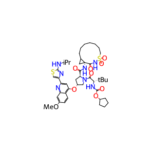 COc1ccc2c(O[C@@H]3C[C@@H](C(=O)N[C@]45CC4CCCCCCCS(=O)(=O)NC5=O)N(C(=O)[C@@H](NC(=O)OC4CCCC4)C(C)(C)C)C3)cc(-c3csc(NC(C)C)n3)nc2c1